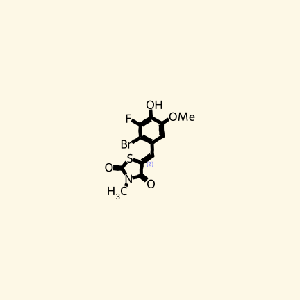 COc1cc(/C=C2\SC(=O)N(C)C2=O)c(Br)c(F)c1O